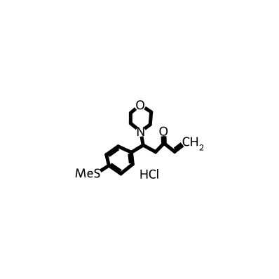 C=CC(=O)CC(c1ccc(SC)cc1)N1CCOCC1.Cl